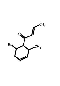 C/C=C/C(=O)C1C(C)C=CCC1CC